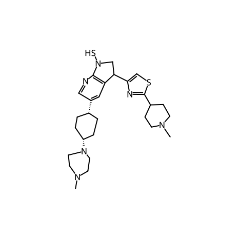 CN1CCC(c2nc(C3CN(S)c4ncc([C@H]5CC[C@@H](N6CCN(C)CC6)CC5)cc43)cs2)CC1